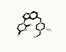 CC(C)CN1CCN(Cc2ccn3ncc(N4CCC(=O)NC4=O)c3c2)C[C@@H]1C